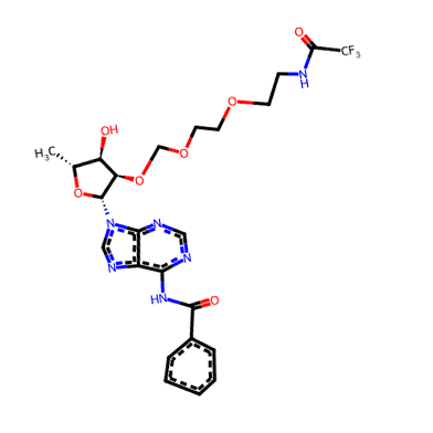 C[C@H]1O[C@@H](n2cnc3c(NC(=O)c4ccccc4)ncnc32)[C@H](OCOCCOCCNC(=O)C(F)(F)F)[C@@H]1O